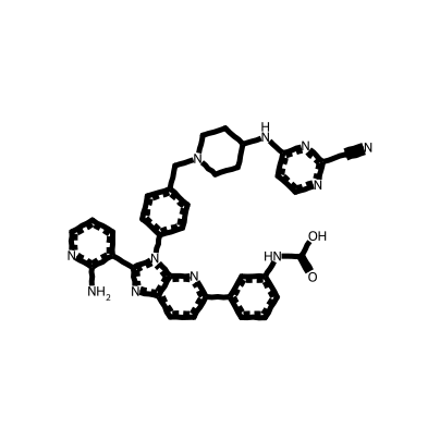 N#Cc1nccc(NC2CCN(Cc3ccc(-n4c(-c5cccnc5N)nc5ccc(-c6cccc(NC(=O)O)c6)nc54)cc3)CC2)n1